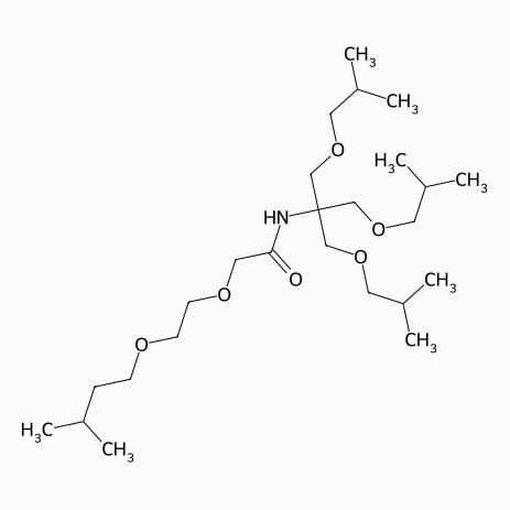 CC(C)CCOCCOCC(=O)NC(COCC(C)C)(COCC(C)C)COCC(C)C